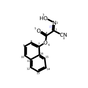 N#C/C(=N/O)C(=O)Oc1cccc2ccccc12